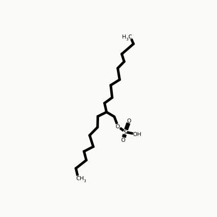 CCCCCCCCCC(CCCCCCCC)COS(=O)(=O)O